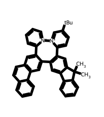 CC(C)(C)c1ccc2[n+](c1)-[n+]1ccccc1-c1cc3ccc4ccccc4c3cc1-c1cc3c(cc1-2)C(C)(C)c1ccccc1-3